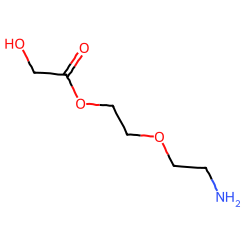 NCCOCCOC(=O)CO